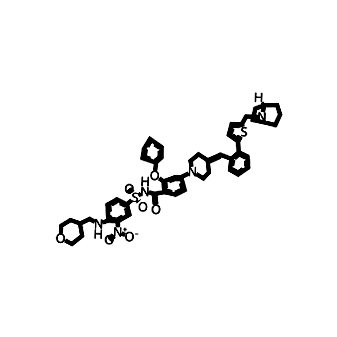 O=C(NS(=O)(=O)c1ccc(NCC2CCOCC2)c([N+](=O)[O-])c1)c1ccc(N2CCC(=Cc3ccccc3-c3ccc(CN4C5CCC[C@H]4CC5)s3)CC2)cc1Oc1ccccc1